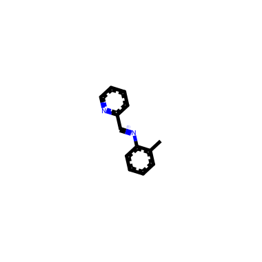 Cc1ccccc1/N=C/c1ccccn1